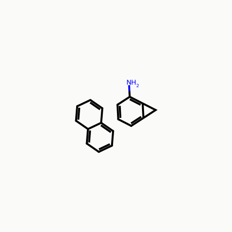 Nc1cccc2c1C2.c1ccc2ccccc2c1